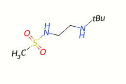 CC(C)(C)NCCNS(C)(=O)=O